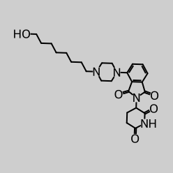 O=C1CCC(N2C(=O)c3cccc(N4CCN(CCCCCCCCO)CC4)c3C2=O)C(=O)N1